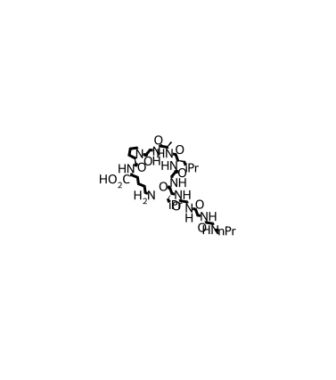 CCCNCC(=O)NCC(=O)NCC(=O)N[C@H](CC(C)C)C(=O)NCC(=O)N[C@H](CC(C)C)C(=O)N[C@H](C)C(=O)NCC(=O)N1CCC[C@@H]1C(=O)N[C@H](CCCCN)C(=O)O